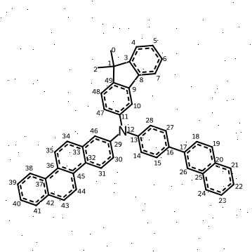 CC1(C)c2ccccc2-c2cc(N(c3ccc(-c4ccc5ccccc5c4)cc3)c3ccc4c(ccc5c6ccccc6ccc45)c3)ccc21